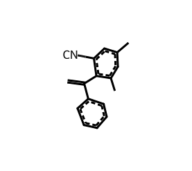 [C-]#[N+]c1cc(C)cc(C)c1C(=C)c1ccccc1